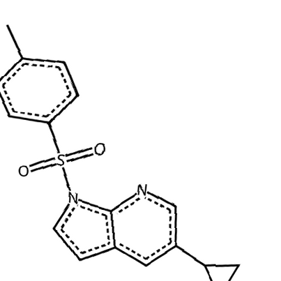 Cc1ccc(S(=O)(=O)n2ccc3cc(C4CO4)cnc32)cc1